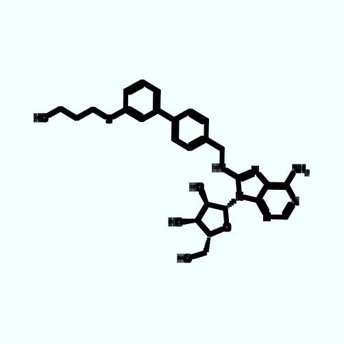 Nc1ncnc2c1nc(NCc1ccc(-c3cccc(SCCCO)c3)cc1)n2[C@@H]1O[C@H](CO)[C@@H](O)[C@H]1O